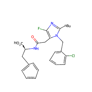 CCCCc1nc(F)c(CC(=O)N[C@@H](Cc2ccccc2)C(=O)O)n1Cc1ccccc1Cl